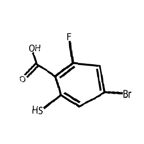 O=C(O)c1c(F)cc(Br)cc1S